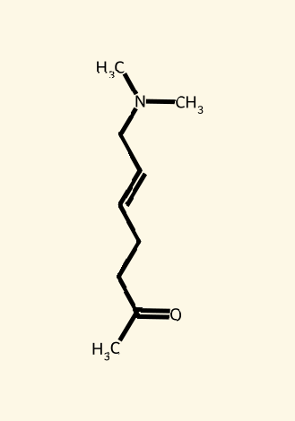 CC(=O)CC/C=C/CN(C)C